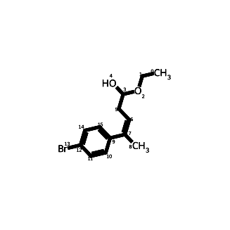 CCOC(O)C/C=C(/C)c1ccc(Br)cc1